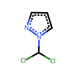 ClC(Cl)n1cccn1